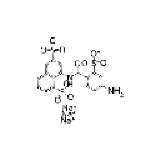 Nc1ccc(C(=O)Nc2cc(S(=O)(=O)[O-])cc3cccc(S(=O)(=O)[O-])c23)c(S(=O)(=O)[O-])c1.[Na+].[Na+].[Na+]